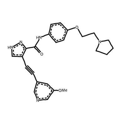 COc1cncc(C#Cc2c[nH]nc2C(=O)Nc2ccc(OCCN3CCCC3)cc2)c1